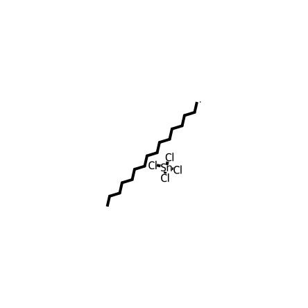 [CH2]CCCCCCCCCCCCCCC.[Cl][Sn]([Cl])([Cl])[Cl]